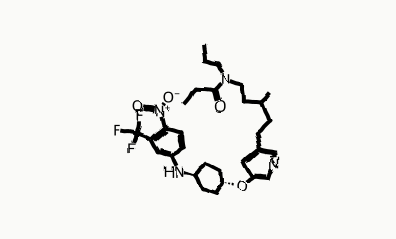 CCCN(CCC(C)CCc1cncc(O[C@H]2CC[C@H](Nc3ccc([N+](=O)[O-])c(C(F)(F)F)c3)CC2)c1)C(=O)CC